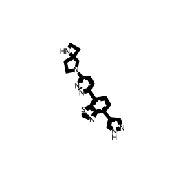 c1nc2c(-c3cn[nH]c3)ccc(-c3ccc(N4CCC5(CCN5)C4)nn3)c2s1